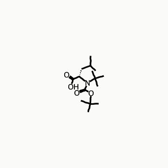 CC(C)C[C@@H](C(=O)O)N(C(=O)OC(C)(C)C)C(C)(C)C